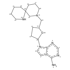 Nc1ncnc2c1ccn2C1CCC(CN2CCCC3(CCCCN3)C2)O1